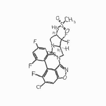 CS(=O)(=O)N[C@@H]1CN2C(=O)N(c3noc4cc(Cl)c(F)c(-c5c(F)cc(F)cc5F)c34)C[C@@H]2C1(F)F